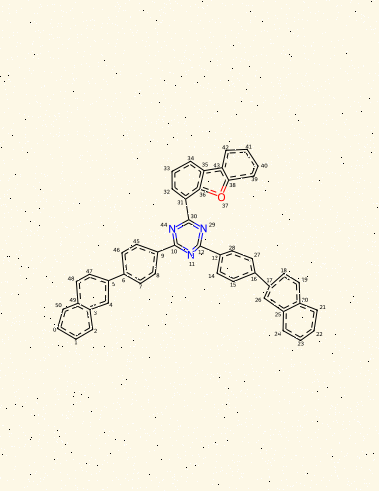 c1ccc2cc(-c3ccc(-c4nc(-c5ccc(-c6ccc7ccccc7c6)cc5)nc(-c5cccc6c5oc5ccccc56)n4)cc3)ccc2c1